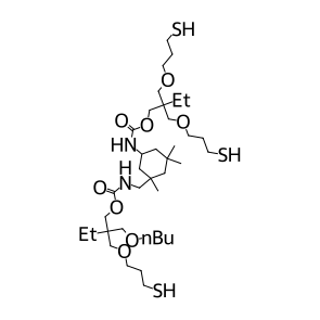 CCCCOCC(CC)(COCCCS)COC(=O)NCC1(C)CC(NC(=O)OCC(CC)(COCCCS)COCCCS)CC(C)(C)C1